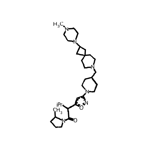 CC(C)C(C(=O)N1CCCC1C)c1cc(N2CCC(CN3CCC4(CC3)CC(N3CCN(C)CC3)C4)CC2)no1